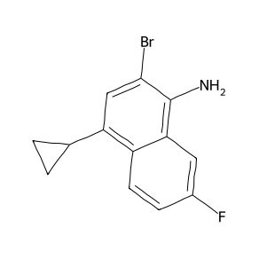 Nc1c(Br)cc(C2CC2)c2ccc(F)cc12